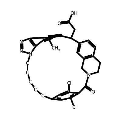 Cc1c2ccc3c1nnn3CCCCCc1cc(Cl)c(c(Cl)c1)C(=O)N1CCc3ccc(cc3C1)C2CC(=O)O